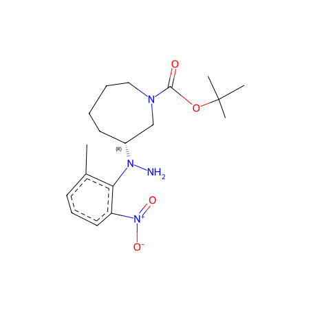 Cc1cccc([N+](=O)[O-])c1N(N)[C@@H]1CCCCN(C(=O)OC(C)(C)C)C1